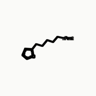 [CH2]CCCCCCCCCc1ccco1